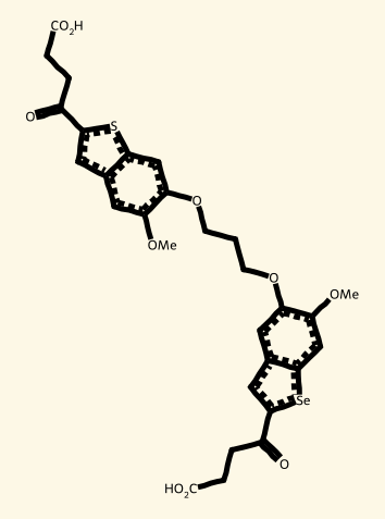 COc1cc2[se]c(C(=O)CCC(=O)O)cc2cc1OCCCOc1cc2sc(C(=O)CCC(=O)O)cc2cc1OC